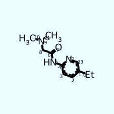 CCc1ccc(NC(=O)CN(C)C)nc1